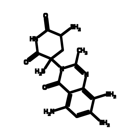 Bc1cc(N)c2c(=O)n(C3(B)CC(B)C(=O)NC3=O)c(C)nc2c1B